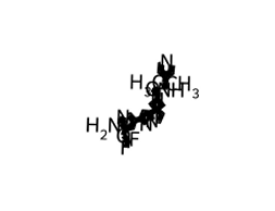 CC(C)(NC(=O)N1CC2(CCn3nc(-c4cnc(N)c(OC(F)F)c4)cc32)C1)c1ccncc1